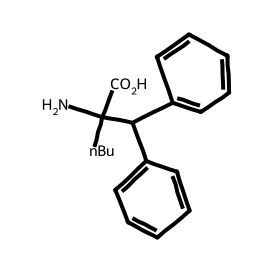 CCCCC(N)(C(=O)O)C(c1ccccc1)c1ccccc1